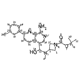 CN(C1CN(C(=O)OC(C)(C)C)C1)C(O)c1cnc(N)c2nc(-c3cccc(F)c3)ccc12